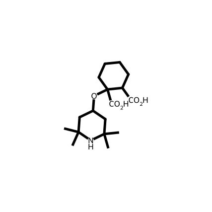 CC1(C)CC(OC2(C(=O)O)CCCCC2C(=O)O)CC(C)(C)N1